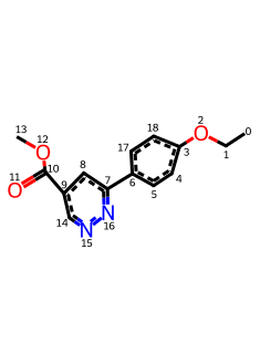 CCOc1ccc(-c2cc(C(=O)OC)cnn2)cc1